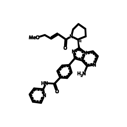 COCC=CC(=O)N1CCCC[C@H]1c1nc(-c2ccc(C(=O)Nc3ccccn3)cc2)c2c(N)nccn12